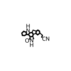 N#CC=Cc1ccc2c(c1)-c1c3c(c4c([nH]c5ccccc54)c1C2)C(=O)NC3